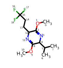 COC1=NC(C(C)C)C(OC)=NC1CCC(F)(F)F